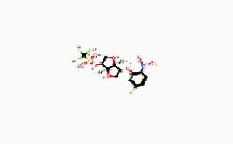 O=[N+]([O-])c1ccc(F)cc1O[C@@H]1CO[C@@H]2[C@H]1OC[C@@H]2OS(=O)(=O)C(F)(F)F